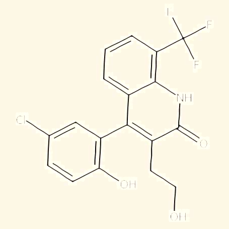 O=c1[nH]c2c(C(F)(F)F)cccc2c(-c2cc(Cl)ccc2O)c1CCO